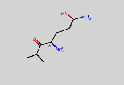 CC(C)C(=O)[C@H](N)CCC(N)O